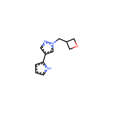 c1c[nH]c(-c2cnn(CC3COC3)c2)c1